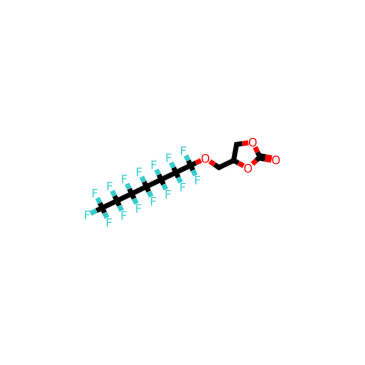 O=C1OCC(COC(F)(F)C(F)(F)C(F)(F)C(F)(F)C(F)(F)C(F)(F)C(F)(F)F)O1